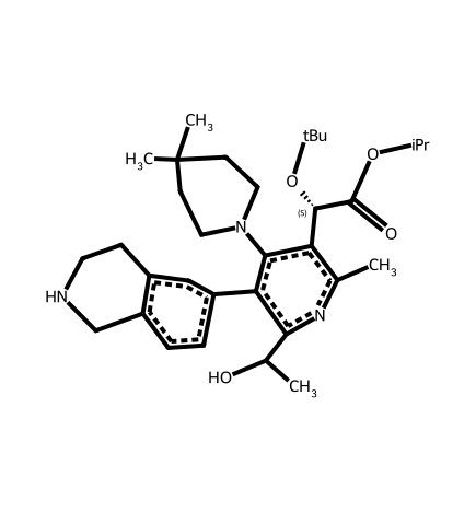 Cc1nc(C(C)O)c(-c2ccc3c(c2)CCNC3)c(N2CCC(C)(C)CC2)c1[C@H](OC(C)(C)C)C(=O)OC(C)C